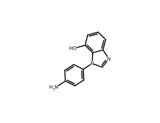 Nc1ccc(-n2cnc3cccc(O)c32)cc1